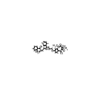 CCN1C(=O)C(C)(C)C(=O)N(C)c2cc(OCCCC(NCCN(C)C(=O)c3ccccc3F)c3ccncc3)ccc21